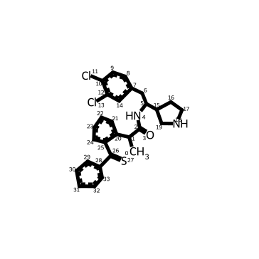 CC(C(=O)NC(Cc1ccc(Cl)c(Cl)c1)C1CCNC1)c1ccccc1C(=S)c1ccccc1